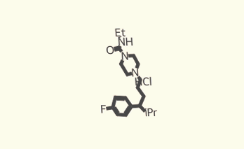 CCNC(=O)N1CCN(CCCC(c2ccc(F)cc2)C(C)C)CC1.Cl